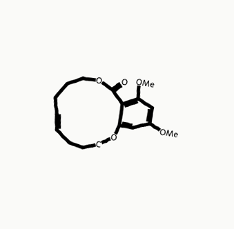 COc1cc(OC)c2c(c1)OCCCC=CCCCOC2=O